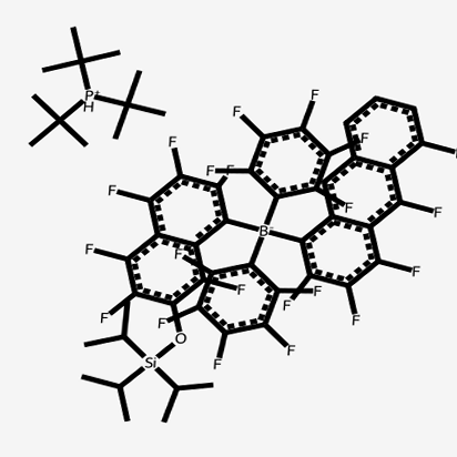 CC(C)(C)[PH+](C(C)(C)C)C(C)(C)C.CC(C)[Si](Oc1c(F)c(F)c2c(F)c(F)c(F)c([B-](c3c(F)c(F)c(F)c(F)c3F)(c3c(F)c(F)c(F)c(F)c3F)c3c(F)c(F)c(F)c4c(F)c5c(F)cccc5cc34)c2c1F)(C(C)C)C(C)C